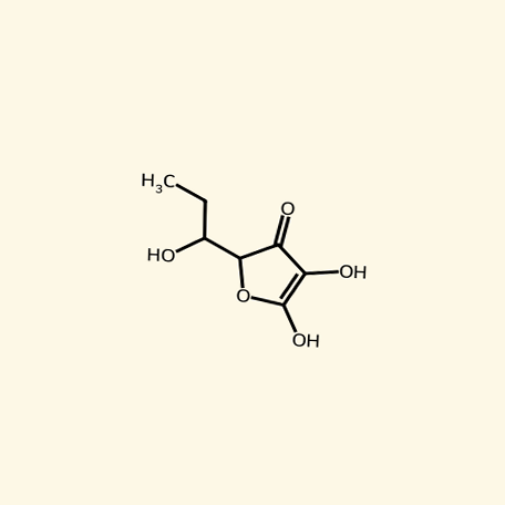 CCC(O)C1OC(O)=C(O)C1=O